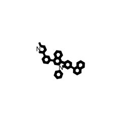 Cc1ccc(-c2cccc(-c3cc4c(c5ccccc35)c3ccc(-c5cccc6ccccc56)cc3n4-c3ccccc3)c2)cn1